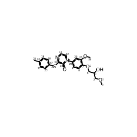 COCC(O)COc1ccc(-n2ccnc(Sc3ccc(C)cc3)c2=O)cc1OC